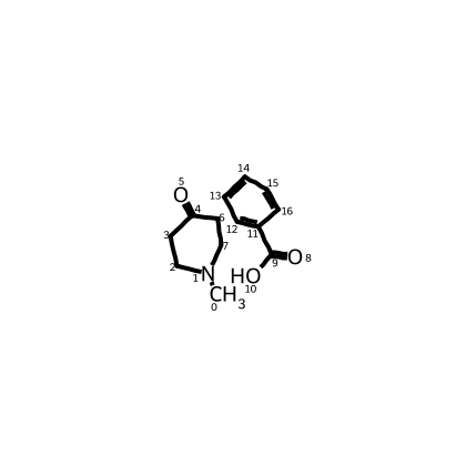 CN1CCC(=O)CC1.O=C(O)c1ccccc1